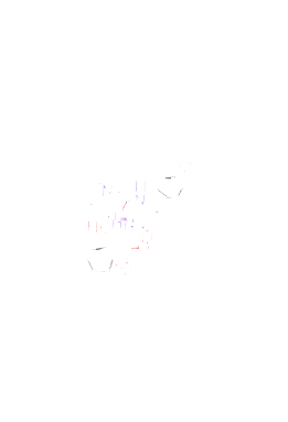 COc1ccc(C[C@H](NC(=O)CN2CCCC[C@@H]2CO)C(=O)N[C@@H](Cc2ccccc2)C(=O)[C@H]2CO2)cc1